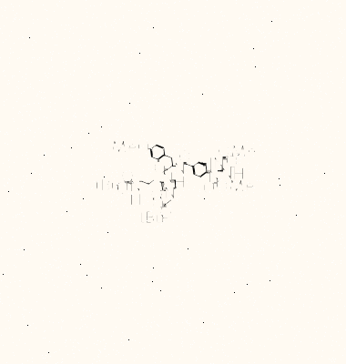 COC(=O)NC(=N)N(C(=O)OC)c1ccc(C(=O)NC(Cc2ccc(OC)cc2)C(=O)N2CCN(CC(=O)OC(C)(C)C)C(=O)[C@@H]2CCCNC(=O)OC(C)(C)C)cc1